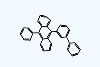 [c]1ccc(-c2ccccc2)cc1-c1c2ccccc2c(-c2ccccc2)c2ccccc12